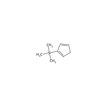 C[Si](C)(C)C1=[C]CC=C1